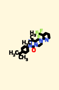 CC(C)c1ccc(NC(=O)N2CCN(c3ncccc3C(F)(F)F)CC2C(C)C)cc1